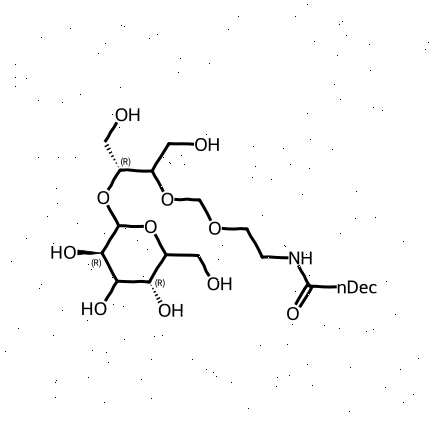 CCCCCCCCCCC(=O)NCCOCOC(CO)[C@@H](CO)OC1OC(CO)[C@H](O)C(O)[C@H]1O